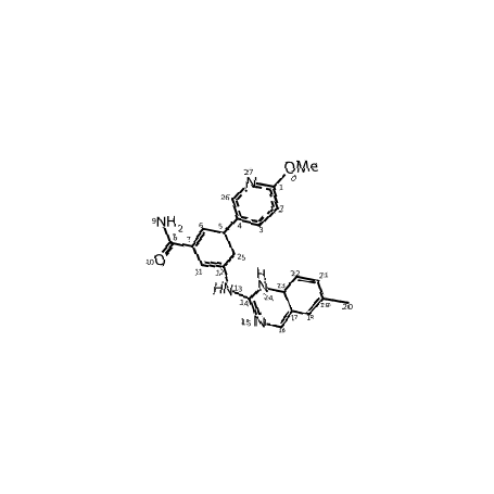 COc1ccc(C2C=C(C(N)=O)C=C(NC3=NC=C4C=C(C)C=CC4N3)C2)cn1